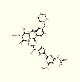 CCCCCC(C(=O)NCNC(=O)c1ccc(-c2cc(OCC)cc(O[PH](=O)O)c2)o1)C(CC)N(C=O)OC(=O)c1ccc(CN2CCOCC2)cc1